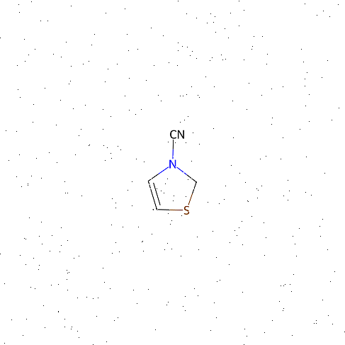 N#CN1C=[C]SC1